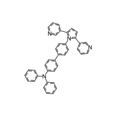 c1ccc(N(c2ccccc2)c2ccc(-c3ccc(-n4c(-c5cccnc5)ccc4-c4cccnc4)cc3)cc2)cc1